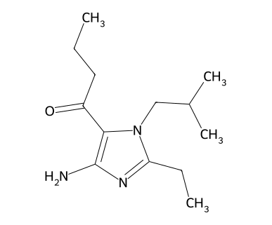 CCCC(=O)c1c(N)nc(CC)n1CC(C)C